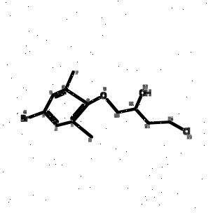 Cc1cc(Br)cc(C)c1OCC(O)CCCl